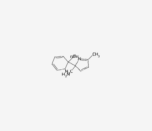 CCCCC1(C2(C)C=CC(C)=N2)C=CC=CC1N